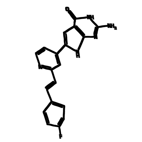 Nc1nc2[nH]c(-c3ccnc(C=Cc4ccc(F)cc4)c3)cc2c(=O)[nH]1